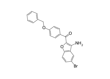 Nc1c(C(=O)c2ccc(OCc3ccccc3)cc2)oc2ccc(Br)cc12